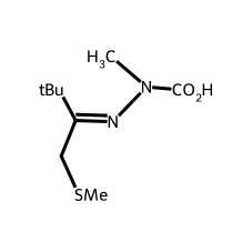 CSCC(=NN(C)C(=O)O)C(C)(C)C